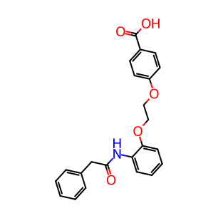 O=C(Cc1ccccc1)Nc1ccccc1OCCOc1ccc(C(=O)O)cc1